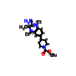 CCNc1ccc(C2CCN(C(=O)OC(C)(C)C)CC2)cc1N(CC)C(C)CN